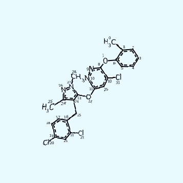 Cc1ccccc1Oc1nnc(Oc2c(Cc3ccc(Cl)cc3Cl)c(C)nn2C)cc1Cl